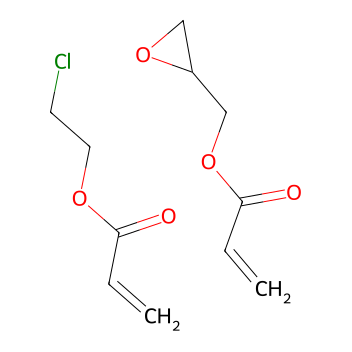 C=CC(=O)OCC1CO1.C=CC(=O)OCCCl